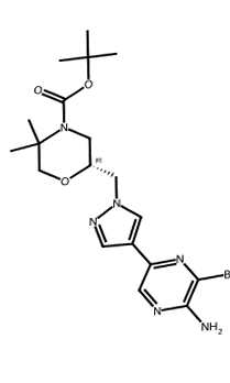 CC(C)(C)OC(=O)N1C[C@H](Cn2cc(-c3cnc(N)c(Br)n3)cn2)OCC1(C)C